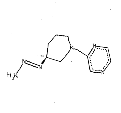 NN=N[C@H]1CCCN(c2cnccn2)C1